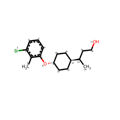 Cc1c(Br)cccc1O[C@H]1CC[C@H](C(C)CCO)CC1